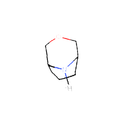 [2H]N1C2CCC1COC2